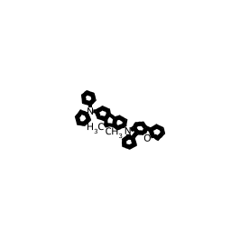 CC1(C)c2cc(N(c3ccccc3)c3ccccc3)ccc2-c2ccc(-n3c4ccccc4c4c5oc6ccccc6c5ccc43)cc21